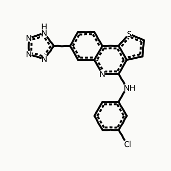 Clc1cccc(Nc2nc3cc(-c4nnn[nH]4)ccc3c3sccc23)c1